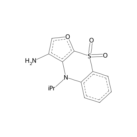 CC(C)N1c2ccccc2S(=O)(=O)c2occ(N)c21